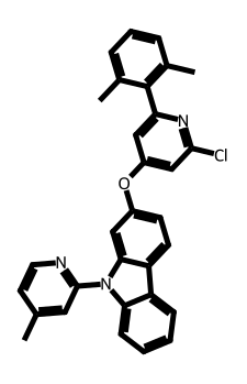 Cc1ccnc(-n2c3ccccc3c3ccc(Oc4cc(Cl)nc(-c5c(C)cccc5C)c4)cc32)c1